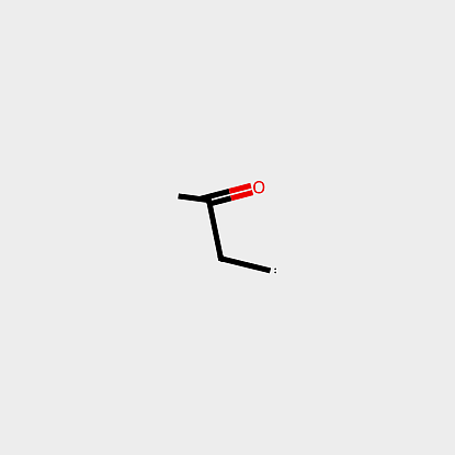 [CH]CC(C)=O